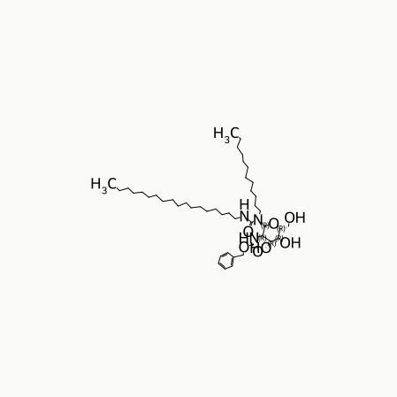 CCCCCCCCCCCCCCCCCCNC(=O)N(CCCCCCCCCCCC)[C@@H]1O[C@H](CO)[C@H](O)[C@H](O)[C@H]1NC(=O)OCc1ccccc1